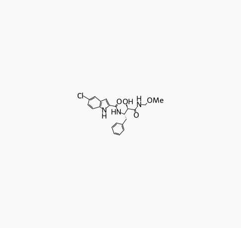 COCNC(=O)[C@H](O)[C@H](Cc1ccccc1)NC(=O)c1cc2cc(Cl)ccc2[nH]1